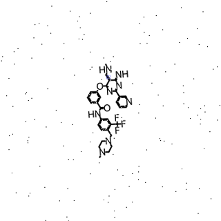 CN/C=C1\C(=N)N=C(c2cccnc2)N=C1Oc1cccc(C(=O)Nc2ccc(CN3CCN(C)CC3)c(C(F)(F)F)c2)c1